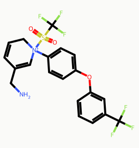 NCC1=C[N+](c2ccc(Oc3cccc(C(F)(F)F)c3)cc2)(S(=O)(=O)C(F)(F)F)CC=C1